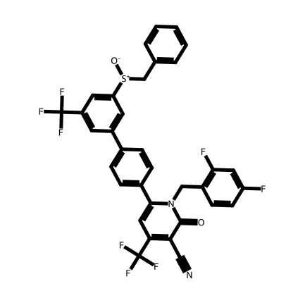 N#Cc1c(C(F)(F)F)cc(-c2ccc(-c3cc([S+]([O-])Cc4ccccc4)cc(C(F)(F)F)c3)cc2)n(Cc2ccc(F)cc2F)c1=O